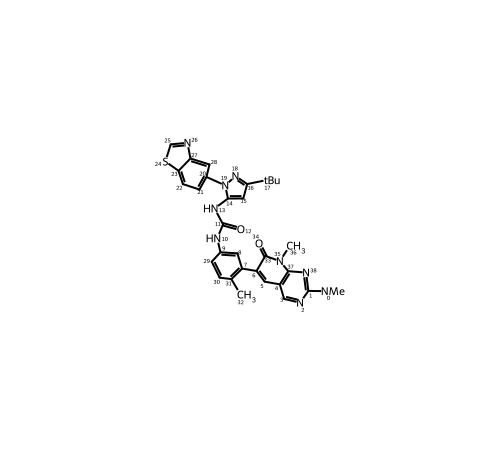 CNc1ncc2cc(-c3cc(NC(=O)Nc4cc(C(C)(C)C)nn4-c4ccc5scnc5c4)ccc3C)c(=O)n(C)c2n1